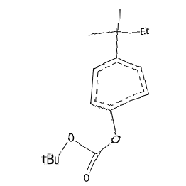 CCC(C)(C)c1ccc(OC(=O)OC(C)(C)C)cc1